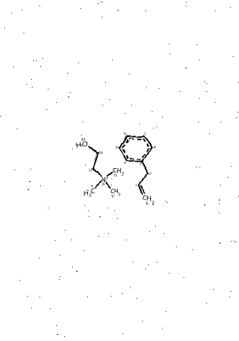 C=CCc1ccccc1.C[N+](C)(C)CCO